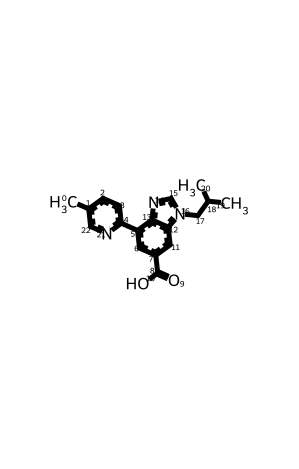 Cc1ccc(-c2cc(C(=O)O)cc3c2ncn3CC(C)C)nc1